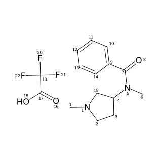 CN1CCC(N(C)C(=O)c2ccccc2)C1.O=C(O)C(F)(F)F